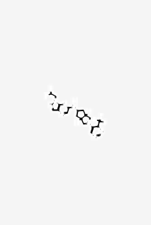 FC(F)Cn1ncc2ncc(NC3C[C@@H]4CN(c5cncnc5C(F)(F)F)C[C@@H]4C3)nc21